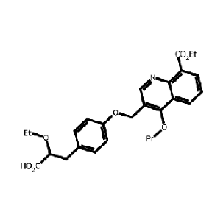 CCOC(=O)c1cccc2c(OC(C)C)c(COc3ccc(CC(OCC)C(=O)O)cc3)cnc12